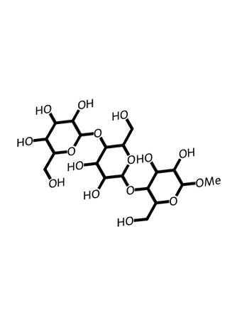 COC1OC(CO)C(OC2OC(CO)C(OC3OC(CO)C(O)C(O)C3O)C(O)C2O)C(O)C1O